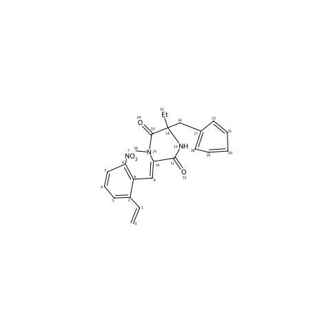 C=Cc1cccc([N+](=O)[O-])c1C=C1C(=O)NC(CC)(Cc2ccccc2)C(=O)N1C